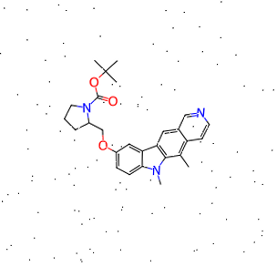 Cc1c2ccncc2cc2c3cc(OCC4CCCN4C(=O)OC(C)(C)C)ccc3n(C)c12